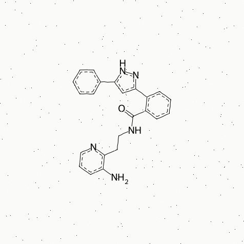 Nc1cccnc1CCNC(=O)c1ccccc1-c1cc(-c2ccccc2)[nH]n1